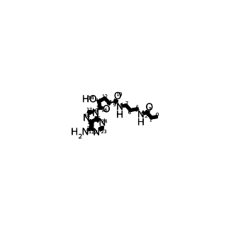 CCC(=O)NCCCNC(=O)[C@@H]1C[C@@H](O)[C@H](n2cnc3c(N)ncnc32)O1